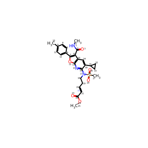 CNC(=O)c1c(-c2ccc(C)cc2)oc2nc(N(CC/C=C/C(=O)OC)S(C)(=O)=O)c(C3CC3)cc12